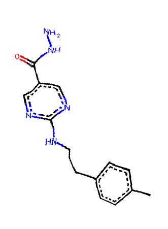 Cc1ccc(CCNc2ncc(C(=O)NN)cn2)cc1